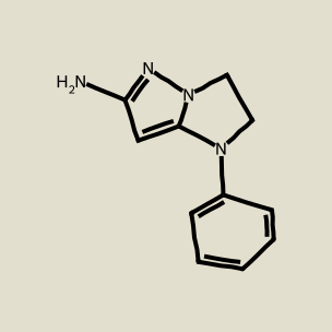 Nc1cc2n(n1)CCN2c1ccccc1